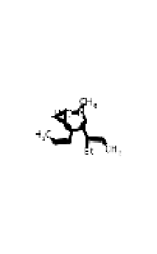 C/C=C\C(=C1CC1)C(=C\N(C)C)/C(=C/C)CC